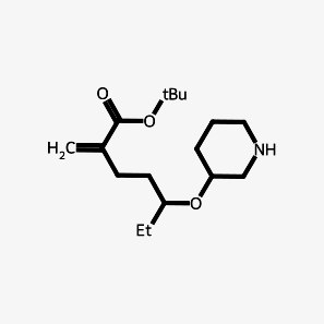 C=C(CCC(CC)OC1CCCNC1)C(=O)OC(C)(C)C